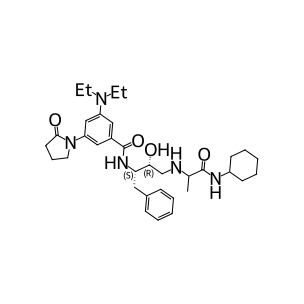 CCN(CC)c1cc(C(=O)N[C@@H](Cc2ccccc2)[C@H](O)CNC(C)C(=O)NC2CCCCC2)cc(N2CCCC2=O)c1